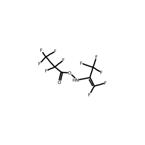 O=C(ONC(=C(F)F)C(F)(F)F)C(F)(F)C(F)(F)F